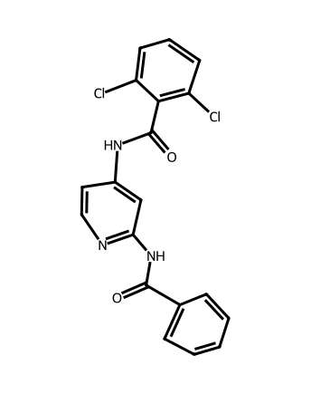 O=C(Nc1cc(NC(=O)c2c(Cl)cccc2Cl)ccn1)c1ccccc1